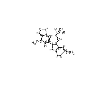 CBr.CCOc1c(C(=O)NC(C)N2CCCC2)sc2ccc(N)cc12